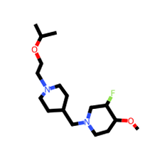 COC1CCN(CC2CCN(CCOC(C)C)CC2)CC1F